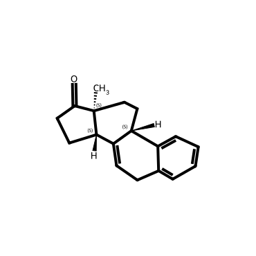 C[C@]12CC[C@H]3C(=CCc4ccccc43)[C@@H]1CCC2=O